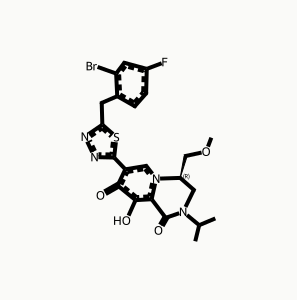 COC[C@H]1CN(C(C)C)C(=O)c2c(O)c(=O)c(-c3nnc(Cc4ccc(F)cc4Br)s3)cn21